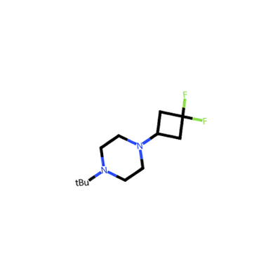 CC(C)(C)N1CCN(C2CC(F)(F)C2)CC1